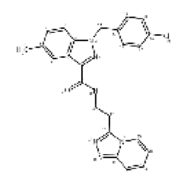 Cc1ccc2c(c1)c(C(=O)NCCc1nnc3ccccn13)nn2Cc1ccc(Cl)cc1